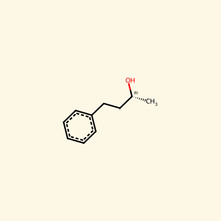 C[C@@H](O)[CH]Cc1ccccc1